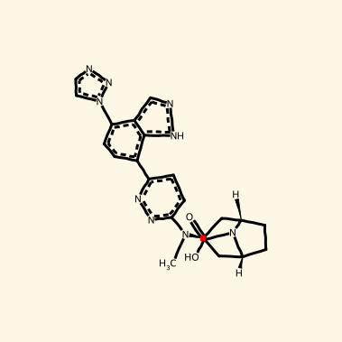 CN(c1ccc(-c2ccc(-n3ccnn3)c3cn[nH]c23)nn1)[C@@H]1C[C@H]2CC[C@@H](C1)N2C(=O)O